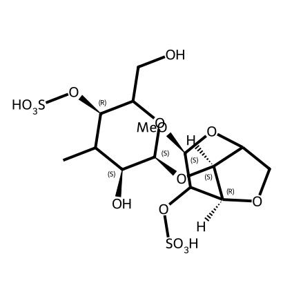 CO[C@H]1OC2CO[C@@H](C1OS(=O)(=O)O)[C@H]2O[C@@H]1OC(CO)[C@H](OS(=O)(=O)O)C(C)[C@@H]1O